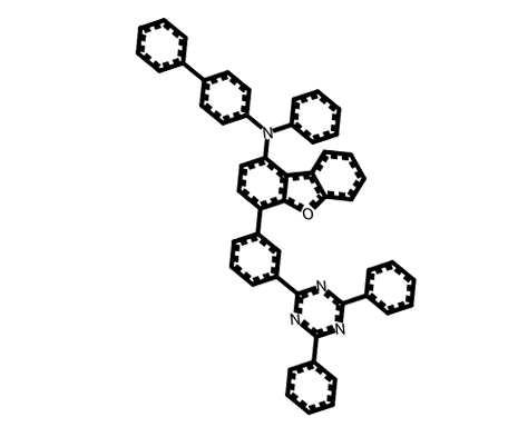 c1ccc(-c2ccc(N(c3ccccc3)c3ccc(-c4cccc(-c5nc(-c6ccccc6)nc(-c6ccccc6)n5)c4)c4oc5ccccc5c34)cc2)cc1